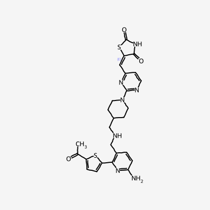 CC(=O)c1ccc(-c2nc(N)ccc2CNCC2CCN(c3nccc(/C=C4/SC(=O)NC4=O)n3)CC2)s1